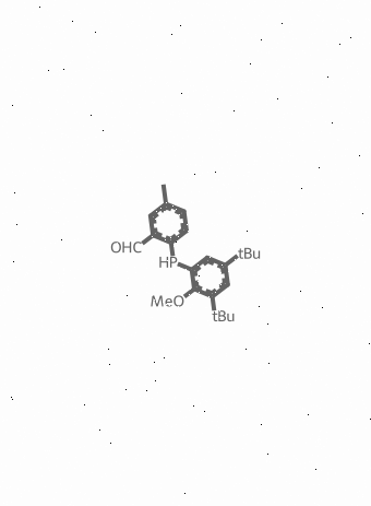 COc1c(Pc2ccc(C)cc2C=O)cc(C(C)(C)C)cc1C(C)(C)C